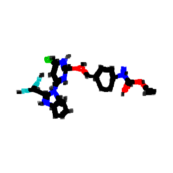 CC(C)(C)OC(=O)N[C@H]1CC[C@H](COc2nc(Cl)cc(-n3c(C(F)F)nc4ccccc43)n2)CC1